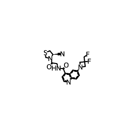 N#C[C@@H]1CSCN1C(=O)CNC(=O)c1ccnc2ccc(N3CC(F)(CF)C3)cc12